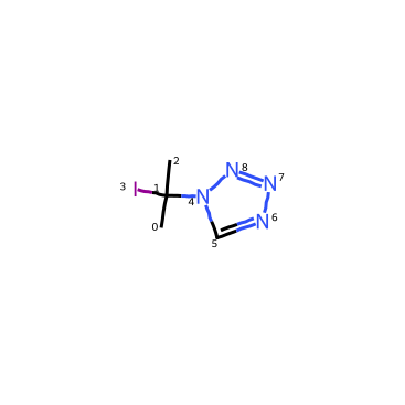 CC(C)(I)n1cnnn1